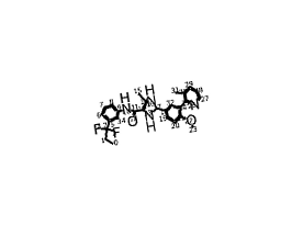 CCC(F)(F)c1cccc(NC(=O)C2=C(C)NC(c3ccc(OC)c(-c4ncccc4C)c3)N2)c1